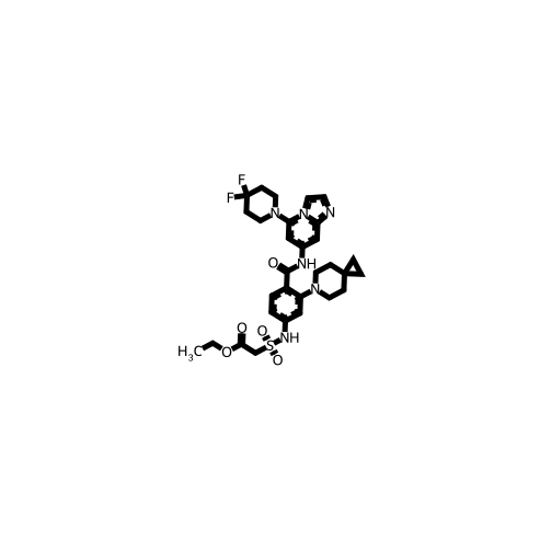 CCOC(=O)CS(=O)(=O)Nc1ccc(C(=O)Nc2cc(N3CCC(F)(F)CC3)n3ccnc3c2)c(N2CCC3(CC2)CC3)c1